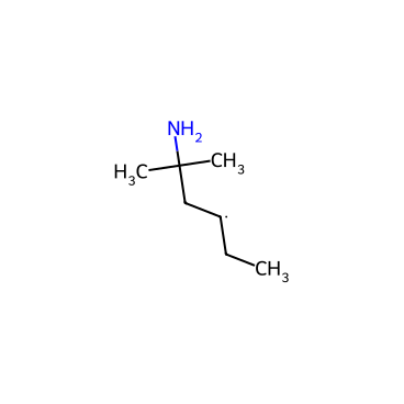 CC[CH]CC(C)(C)N